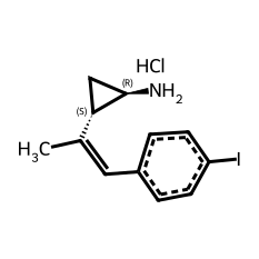 CC(=Cc1ccc(I)cc1)[C@@H]1C[C@H]1N.Cl